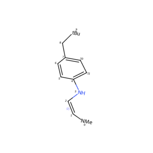 CN/C=C\Nc1ccc(CC(C)(C)C)cc1